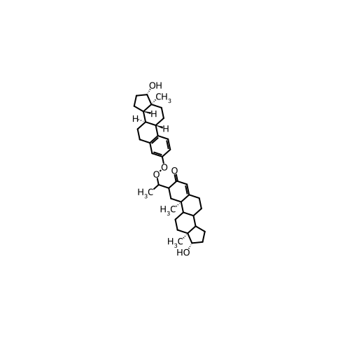 CC(OOc1ccc2c(c1)CC[C@@H]1[C@@H]2CC[C@]2(C)[C@@H](O)CC[C@@H]12)C1C[C@@]2(C)C(=CC1=O)CCC1C2CC[C@@]2(C)C1CC[C@@H]2O